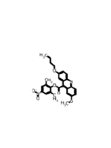 CCCCOc1ccc2nc3ccc(OC)cc3c(C(=O)Oc3c(C)cc([N+](=O)[O-])cc3C)c2c1